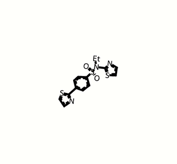 CCN(c1nccs1)S(=O)(=O)c1ccc(-c2nccs2)cc1